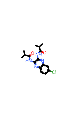 CC(C)C(=O)Nc1nc2ccc(Cl)cc2nc1NC(=O)C(C)C